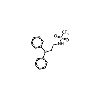 O=S(=O)(NCCN(c1ccccc1)c1ccccc1)C(F)(F)F